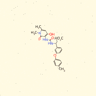 Cc1ccc(Oc2cccc(C(CC(=O)O)NC(=O)Nc3c(O)cc(C)n(C)c3=O)c2)cc1